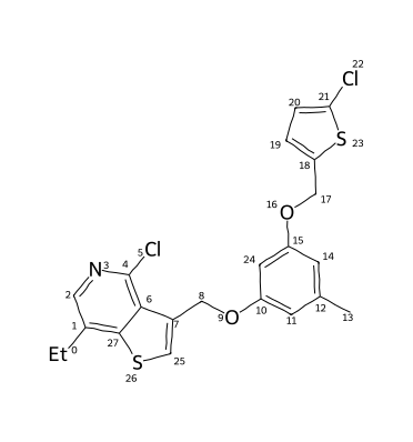 CCc1cnc(Cl)c2c(COc3cc(C)cc(OCc4ccc(Cl)s4)c3)csc12